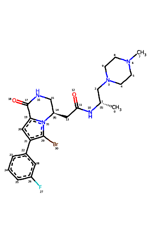 C[C@@H](CN1CCN(C)CC1)NC(=O)C[C@@H]1CNC(=O)c2cc(-c3cccc(F)c3)c(Br)n21